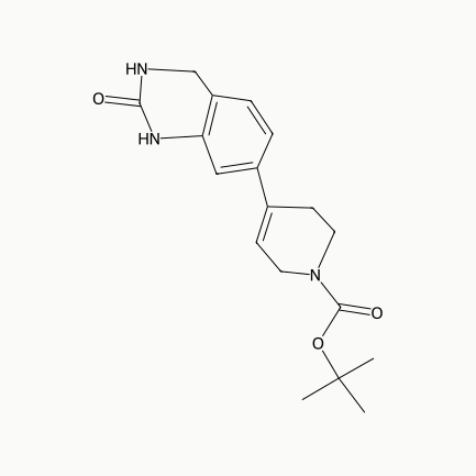 CC(C)(C)OC(=O)N1CC=C(c2ccc3c(c2)NC(=O)NC3)CC1